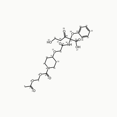 CC(=O)OCOC(=O)N1CCC(OCC(=O)NC(Oc2ccccc2)(C(=O)O)C(=O)CCO)CC1